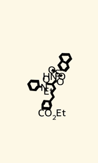 CCOC(=O)c1ccc(CCCC(C(=O)NS(=O)(=O)c2ccc3ccccc3c2)C(=O)N(CC)c2ccccc2)cc1